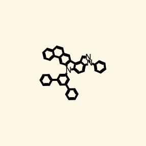 c1ccc(-c2cc(-c3ccccc3)cc(-n3c4cc5c(ccc6ccccc65)cc4c4c5cnn(-c6ccccc6)c5ccc43)c2)cc1